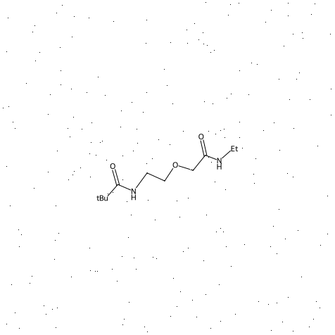 CCNC(=O)COCCNC(=O)C(C)(C)C